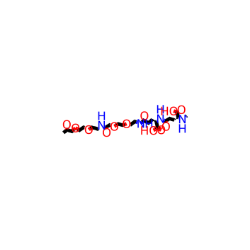 CN[C@H](CCC(=O)N[C@H](CCC(=O)NCCOCCOCC(=O)NCCOCCOCC(C)=O)C(=O)O)C(=O)O